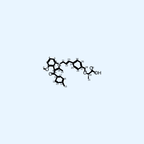 COc1cccc2c1c(C(=O)c1ccc(C)cc1)c(C)n2CC=Cc1ccc(CO[C@H](C)C(=O)O)cc1